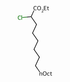 CCCCCCCCCCCCCCC(Cl)C(=O)OCC